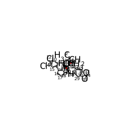 C=C(C)C[C@H]1[C@H]2c3c(-c4ccc(Cl)c(Cl)c4)cccc3[C@H](CC2(C)C)N1Cc1ccc2c(c1)OCO2